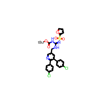 CC(C)(C)OC(=O)N/C(=N\S(=O)(=O)c1ccco1)NCc1cnc(-c2ccc(Cl)cc2)c(-c2ccc(Cl)cc2)c1